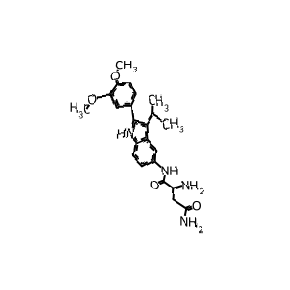 COc1ccc(-c2[nH]c3ccc(NC(=O)C(N)CC(N)=O)cc3c2C(C)C)cc1OC